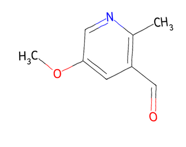 COc1cnc(C)c(C=O)c1